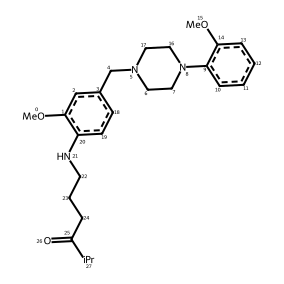 COc1cc(CN2CCN(c3ccccc3OC)CC2)ccc1NCCCC(=O)C(C)C